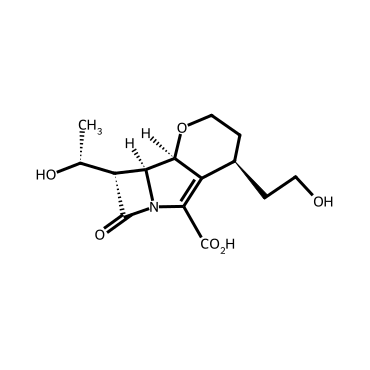 C[C@@H](O)[C@H]1C(=O)N2C(C(=O)O)=C3[C@H](CCO)CCO[C@@H]3[C@H]12